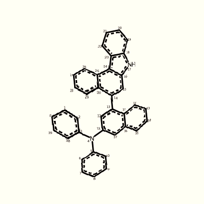 c1ccc(N(c2ccccc2)c2cc(-c3cc4[nH]c5ccccc5c4c4ccccc34)c3ccccc3c2)cc1